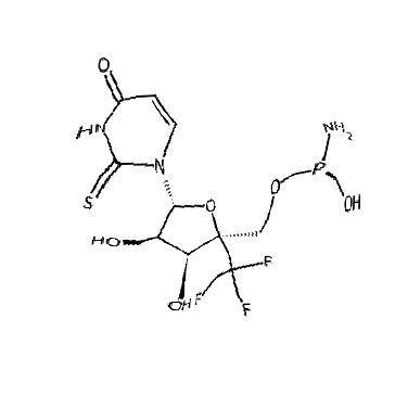 NP(O)OC[C@@]1(C(F)(F)F)O[C@@H](n2ccc(=O)[nH]c2=S)[C@H](O)[C@@H]1O